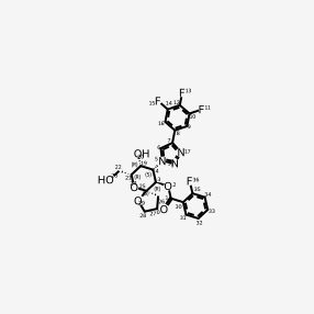 O=C(O[C@@H]1[C@@H](n2cc(-c3cc(F)c(F)c(F)c3)nn2)[C@@H](O)[C@@H](CO)O[C@@]12CCCO2)c1ccccc1F